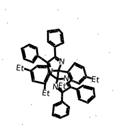 CCc1ccc(C2(C3(c4ccc(CC)cc4CC)N=C(c4ccccc4)C(c4ccccc4)=N3)N=C(c3ccccc3)C(c3ccccc3)=N2)c(CC)c1